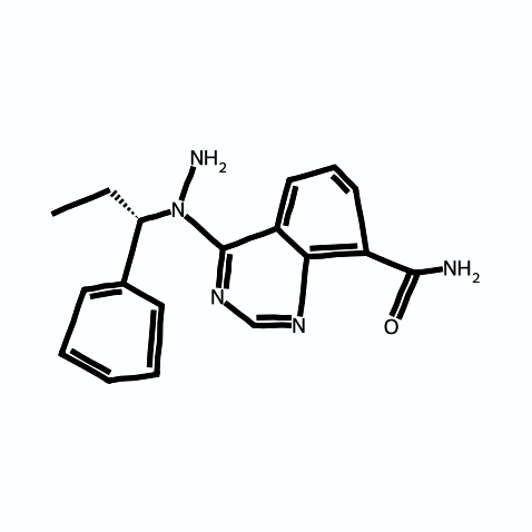 CC[C@@H](c1ccccc1)N(N)c1ncnc2c(C(N)=O)cccc12